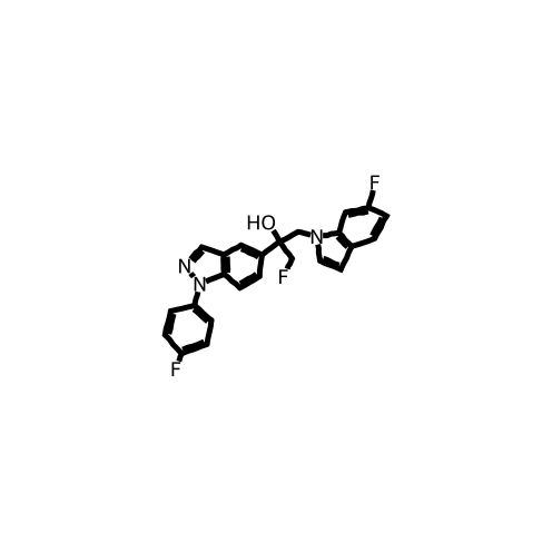 OC(CF)(Cn1ccc2ccc(F)cc21)c1ccc2c(cnn2-c2ccc(F)cc2)c1